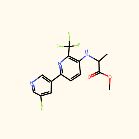 COC(=O)C(C)Nc1ccc(-c2cncc(F)c2)nc1C(F)(F)F